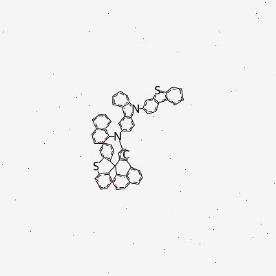 c1ccc2c(c1)Sc1ccccc1C21c2cc(N(c3ccc4c(c3)c3ccccc3n4-c3ccc4c(c3)sc3ccccc34)c3cccc4ccccc34)ccc2-c2cccc3cccc1c23